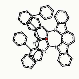 c1ccc(-c2nc(-c3ccccc3)nc(-n3c4ccccc4c4ccc5c6ccccc6n(-c6cc(-c7ccccc7-c7ccccc7)cc(-c7ccccc7-c7ccccc7)c6)c5c43)n2)cc1